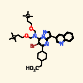 C[Si](C)(C)CCOCN(COCC[Si](C)(C)C)c1c(Br)c(C2CCC(CC(=O)O)CC2)nc2c(-c3cnc4ccccc4c3)cnn12